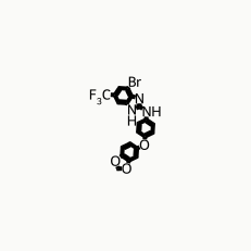 FC(F)(F)c1cc(Br)c2nc(Nc3ccc(Oc4ccc5c(c4)OCO5)cc3)[nH]c2c1